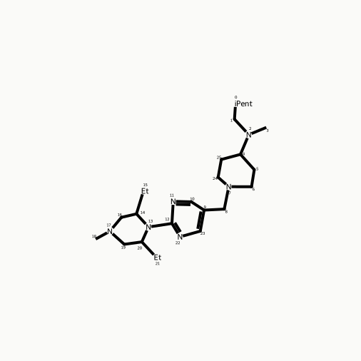 CCCC(C)CN(C)C1CCN(Cc2cnc(N3C(CC)CN(C)CC3CC)nc2)CC1